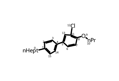 CCCCCCCc1ccc(-c2ccc(OCCC)c(Cl)c2)cc1